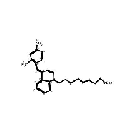 CCCCCCCCCCCCCCCCCCN1C=C/C(=C\c2ccc([N+](=O)[O-])cc2C(F)(F)F)c2ccccc21